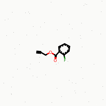 C#CCOC(=O)c1ccccc1F